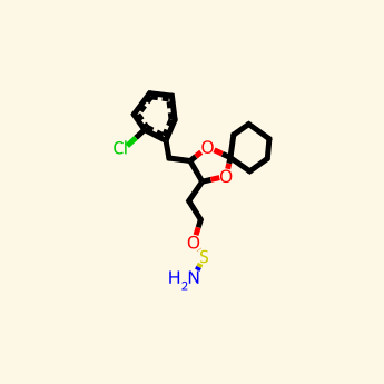 NSOCCC1OC2(CCCCC2)OC1Cc1ccccc1Cl